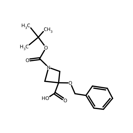 CC(C)(C)OC(=O)N1CC(OCc2ccccc2)(C(=O)O)C1